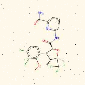 COc1c([C@@H]2[C@@H](C(=O)Nc3cccc(C(N)=O)n3)O[C@@](C)(C(F)(F)F)[C@H]2C)ccc(F)c1F